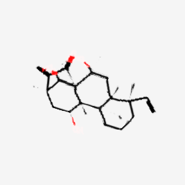 C=C[C@]1(C)CCC[C@@]2(COC(C)=O)[C@@H]3[C@@H](O)C[C@H]4C(=C)C(=O)[C@@]3([C@@H]4O)[C@@](C)(O)C[C@@H]21